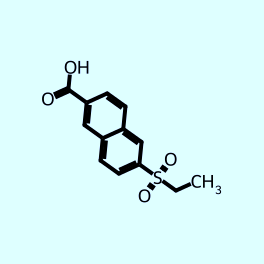 CCS(=O)(=O)c1ccc2cc(C(=O)O)ccc2c1